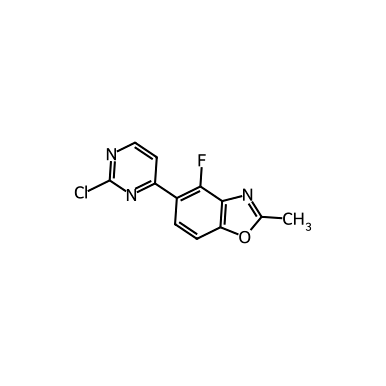 Cc1nc2c(F)c(-c3ccnc(Cl)n3)ccc2o1